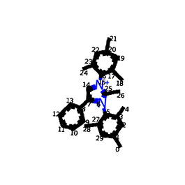 Cc1cc(C)c(-n2c(-c3ccccc3)c[n+](-c3c(C)cc(C)cc3C)c2C)c(C)c1